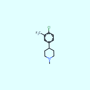 CN1CCC(c2ccc(Cl)c(C(F)(F)F)c2)CC1